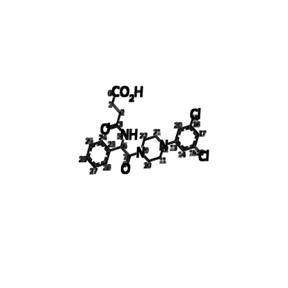 O=C(O)CCC(=O)NC(C(=O)N1CCN(c2cc(Cl)cc(Cl)c2)CC1)c1ccccc1